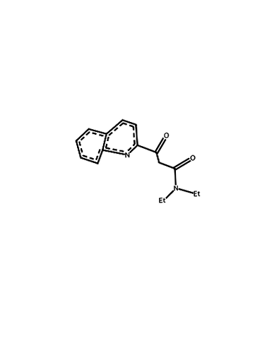 CCN(CC)C(=O)CC(=O)c1ccc2ccccc2n1